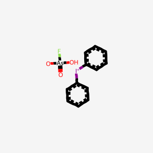 O=[As]([O-])(O)F.c1ccc([I+]c2ccccc2)cc1